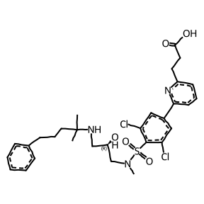 CN(C[C@H](O)CNC(C)(C)CCCc1ccccc1)S(=O)(=O)c1c(Cl)cc(-c2cccc(CCC(=O)O)n2)cc1Cl